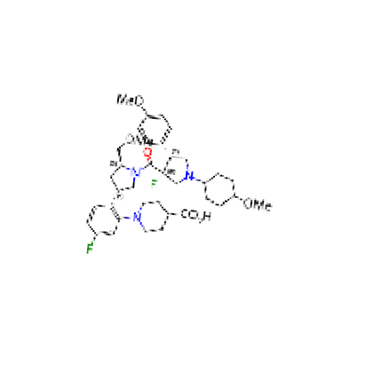 COC[C@@H]1C[C@@H](c2ccc(F)cc2N2CCC(C(=O)O)CC2)CN1C(=O)[C@]1(F)CN(C2CCC(OC)CC2)C[C@H]1c1ccc(OC)cc1